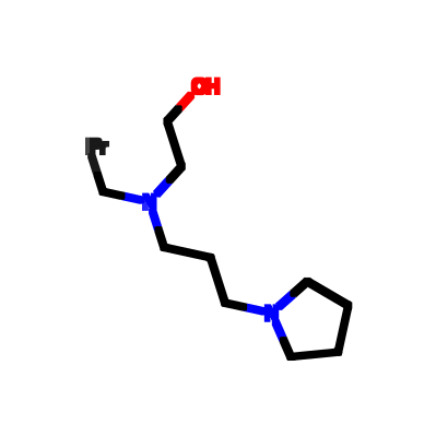 CC(C)CN(CCO)CCCN1CCCC1